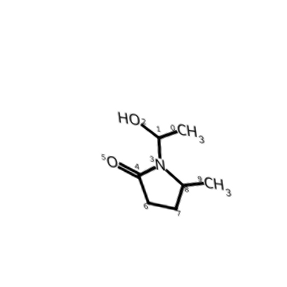 CC(O)N1C(=O)CCC1C